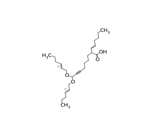 CCC/C=C/COC(C#CCCCCC(C=CCCCC)C(=O)O)OC/C=C/CCC